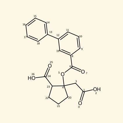 O=C(O)CC1(OC(=O)c2cccc(-c3ccccc3)c2)CCCC1C(=O)O